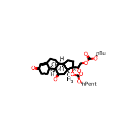 CCCCCOC(=O)O[C@]1(C(=O)COC(=O)OCCCC)CC[C@H]2[C@@H]3CCC4=CC(=O)CC[C@]4(C)[C@H]3C(=O)C[C@@]21C